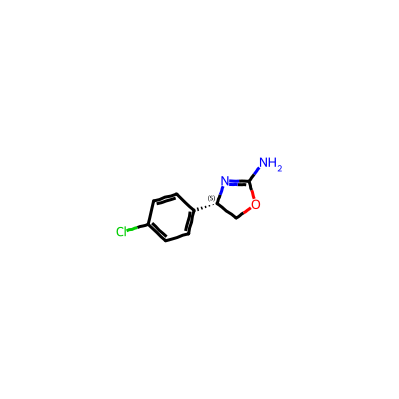 NC1=N[C@@H](c2ccc(Cl)cc2)CO1